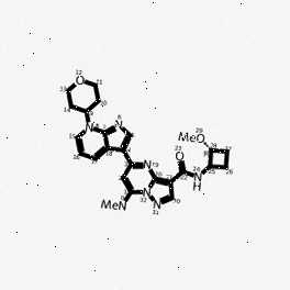 CNc1cc(-c2cnc3n(C4CCOCC4)cccc2-3)nc2c(C(=O)NC3CC[C@H]3OC)cnn12